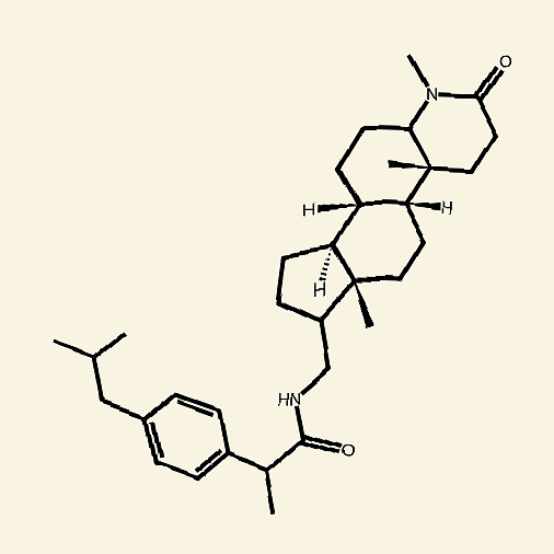 CC(C)Cc1ccc(C(C)C(=O)NCC2CC[C@H]3[C@@H]4CCC5N(C)C(=O)CC[C@]5(C)[C@@H]4CC[C@]23C)cc1